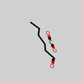 CCCCCC=O.O=C=O